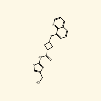 O=C(Nc1nc(CO)cs1)[C@H]1C[C@H](Oc2cccc3cccnc23)C1